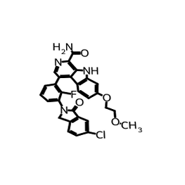 COCCOc1ccc2c(c1)[nH]c1c(C(N)=O)ncc(-c3cccc(N4Cc5ccc(Cl)cc5C4=O)c3F)c12